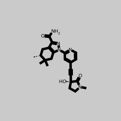 C[C@@H]1Cc2c(C(N)=O)nn(-c3cc(C#C[C@]4(O)CCN(C)C4=O)ccn3)c2CC1(C)C